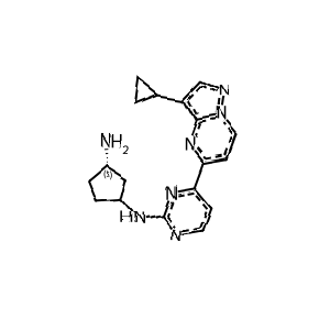 N[C@H]1CCC(Nc2nccc(-c3ccn4ncc(C5CC5)c4n3)n2)C1